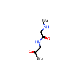 CC(C)(C)NCC(=O)NCC(=O)C(C)(C)C